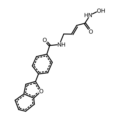 O=C(/C=C/CNC(=O)c1ccc(-c2cc3ccccc3o2)cc1)NO